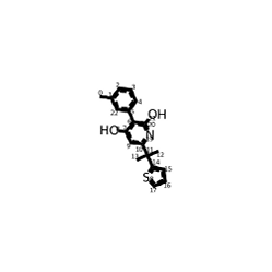 Cc1cccc(-c2c(O)cc(C(C)(C)c3cccs3)nc2O)c1